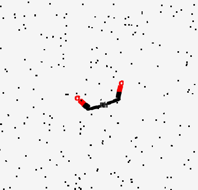 O=[CH][Rh][CH]=O